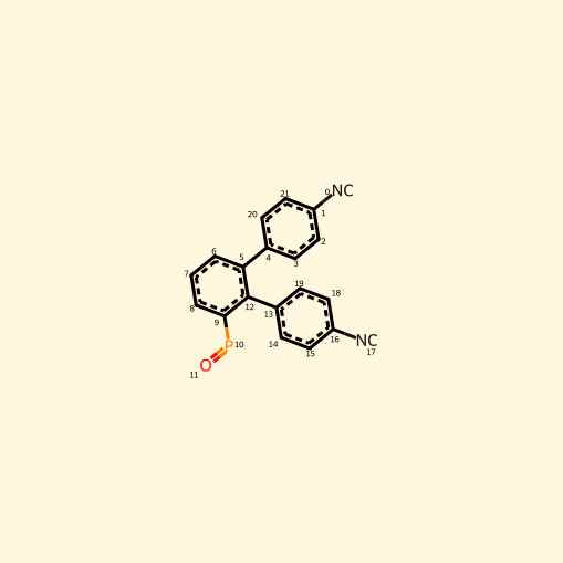 [C-]#[N+]c1ccc(-c2cccc(P=O)c2-c2ccc([N+]#[C-])cc2)cc1